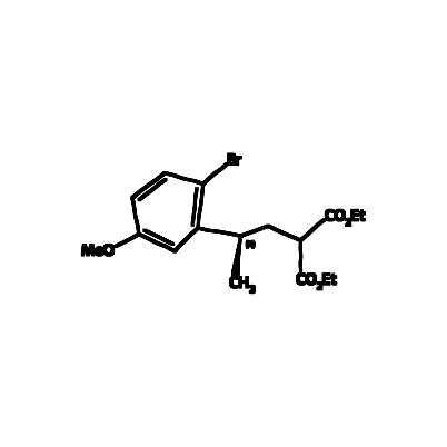 CCOC(=O)C(C[C@@H](C)c1cc(OC)ccc1Br)C(=O)OCC